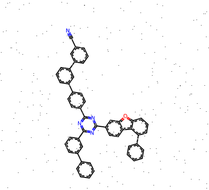 N#Cc1cccc(-c2cccc(-c3ccc(-c4nc(-c5cccc(-c6ccccc6)c5)nc(-c5ccc6c(c5)oc5cccc(-c7ccccc7)c56)n4)cc3)c2)c1